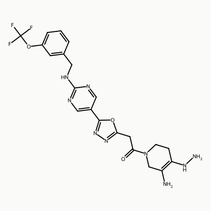 NNC1=C(N)CN(C(=O)Cc2nnc(-c3cnc(NCc4cccc(OC(F)(F)F)c4)nc3)o2)CC1